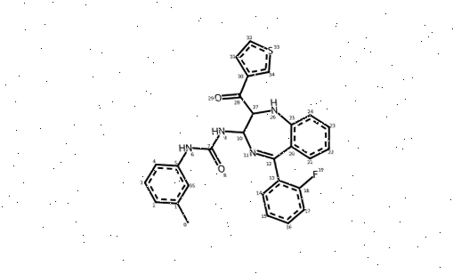 Cc1cccc(NC(=O)NC2N=C(c3ccccc3F)c3ccccc3NC2C(=O)c2ccsc2)c1